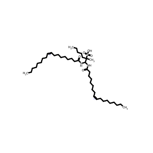 CCCCCCCC/C=C\CCCCCCCC(=O)NC(NC(=O)CCCCCCC/C=C\CCCCCCCC)C(C)(CCCCC)S(=O)(=O)O